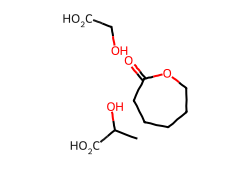 CC(O)C(=O)O.O=C(O)CO.O=C1CCCCCO1